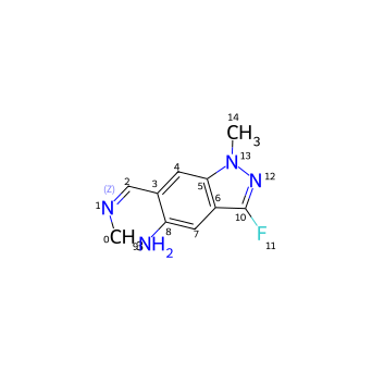 C/N=C\c1cc2c(cc1N)c(F)nn2C